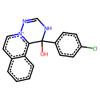 OC1(c2ccc(Cl)cc2)NC=N[n+]2ccc3ccccc3c21